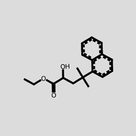 CCOC(=O)C(O)CC(C)(C)c1cccc2ccccc12